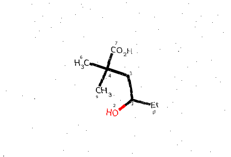 CCC(O)CC(C)(C)C(=O)O